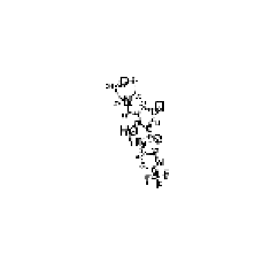 O=C(Nc1ccc(C(F)(F)F)nc1)c1cc(Cl)cc(CN2CCOCC2)c1O